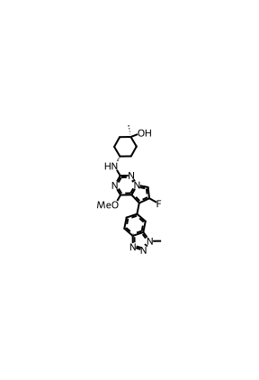 COc1nc(N[C@H]2CC[C@](C)(O)CC2)nn2cc(F)c(-c3ccc4nnn(C)c4c3)c12